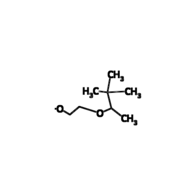 CC(OCC[O])C(C)(C)C